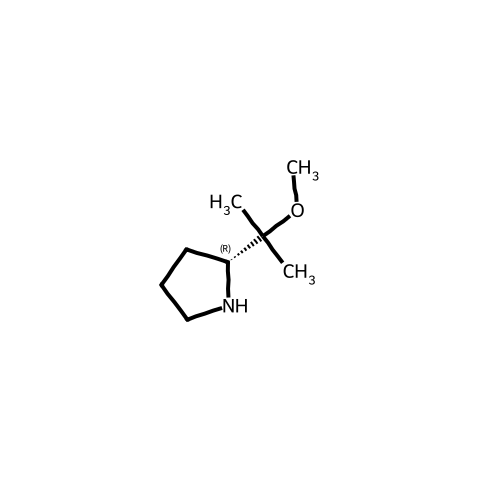 COC(C)(C)[C@H]1CCCN1